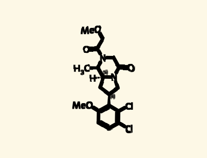 COCC(=O)N1CC(=O)N2C[C@@H](c3c(OC)ccc(Cl)c3Cl)C[C@H]2C1C